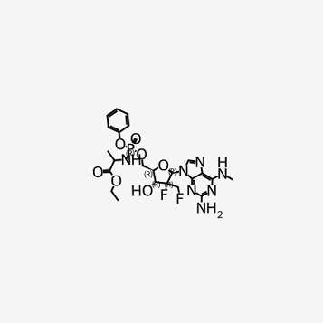 CCOC(=O)C(C)N[P@@](=O)(OC[C@H]1O[C@@H](n2cnc3c(NC)nc(N)nc32)[C@@](F)(CF)[C@@H]1O)Oc1ccccc1